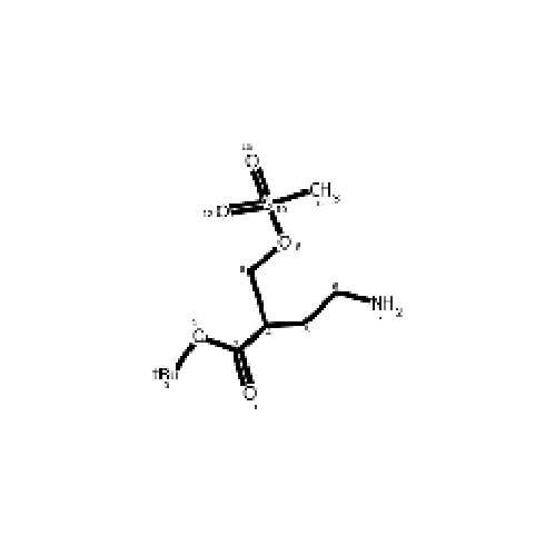 CC(C)(C)OC(=O)C(CCN)COS(C)(=O)=O